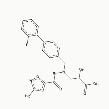 O=C(NN(Cc1ccc(-c2ccccc2F)cc1)CC(O)C(=O)O)c1cc(O)no1